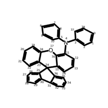 c1ccc(N(c2ccccc2)c2cccc3c2Oc2ccccc2C32c3ccccc3-c3ccccc32)cc1